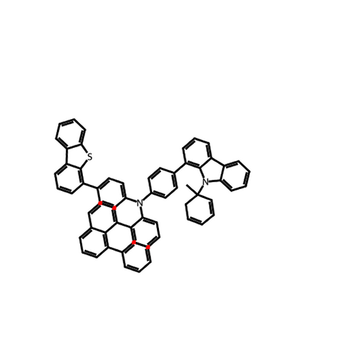 CC1(n2c3ccccc3c3cccc(-c4ccc(N(c5ccc(-c6cccc7c6sc6ccccc67)cc5)c5ccccc5-c5cccc6cccc(-c7ccccc7)c56)cc4)c32)C=CC=CC1